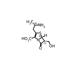 C[C@@H](N)CC1=C(C(=O)O)N2C(=O)[C@H](CO)[C@H]2S1